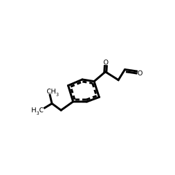 CC(C)Cc1ccc(C(=O)CC=O)cc1